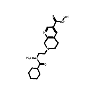 CN(CCN1CCc2cc(C(=O)NO)cnc2C1)C(=O)C1CCCCC1